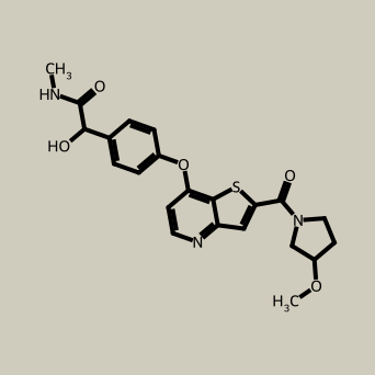 CNC(=O)C(O)c1ccc(Oc2ccnc3cc(C(=O)N4CCC(OC)C4)sc23)cc1